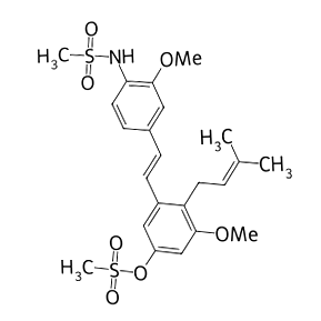 COc1cc(/C=C/c2cc(OS(C)(=O)=O)cc(OC)c2CC=C(C)C)ccc1NS(C)(=O)=O